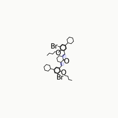 CCCCOc1c(Br)cc(C2CCCCC2)cc1/C=C1\CCC/C(=C\c2cc(C3CCCCC3)cc(Br)c2OCCCC)C1=O